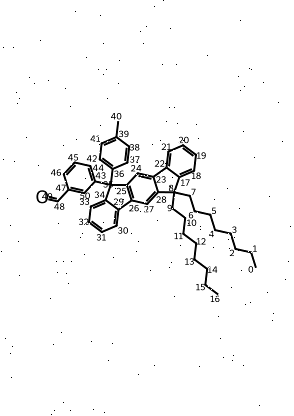 CCCCCCCCC1(CCCCCCCC)c2ccccc2-c2cc3c(cc21)-c1ccccc1C3(c1ccc(C)cc1)c1cccc(C=O)c1